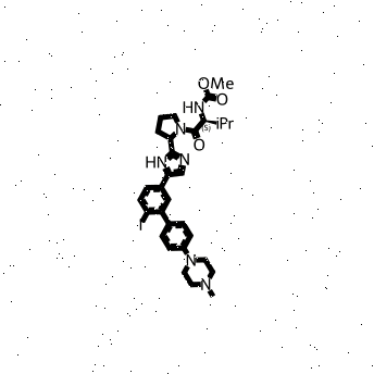 COC(=O)N[C@H](C(=O)N1CCCC1c1ncc(-c2ccc(I)c(-c3ccc(N4CCN(C)CC4)cc3)c2)[nH]1)C(C)C